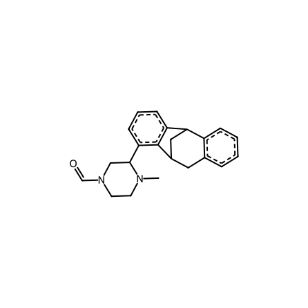 CN1CCN(C=O)CC1c1cccc2c1C1Cc3ccccc3C2C1